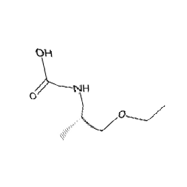 CCOC[C@H](C)NC(=O)O